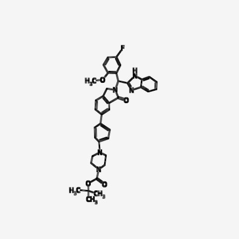 COc1ccc(F)cc1C(c1nc2ccccc2[nH]1)N1Cc2ccc(-c3ccc(N4CCN(C(=O)OC(C)(C)C)CC4)cc3)cc2C1=O